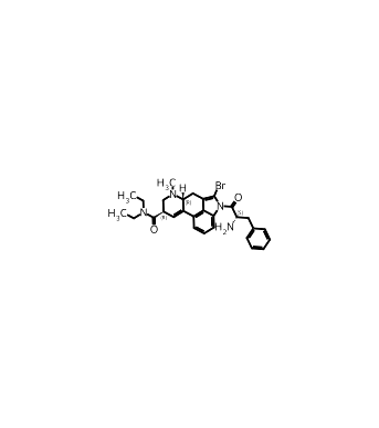 CCN(CC)C(=O)[C@@H]1C=C2c3cccc4c3c(c(Br)n4C(=O)[C@@H](N)Cc3ccccc3)C[C@H]2N(C)C1